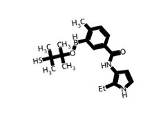 CCc1[nH]ccc1NC(=O)c1ccc(C)c(BOC(C)(C)C(C)(C)S)c1